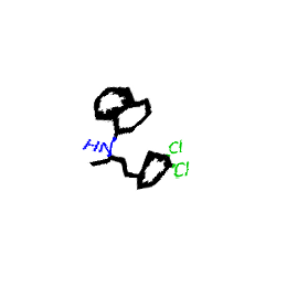 CC(CCc1ccc(Cl)c(Cl)c1)NC1CCCc2ccccc21